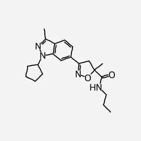 CCCNC(=O)C1(C)CC(c2ccc3c(C)nn(C4CCCC4)c3c2)=NO1